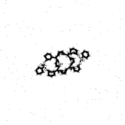 CC12c3cccc(c3)OP(=O)(c3ccccc3)Oc3cccc(c3)C(C)(c3ccc1[nH]3)c1ccc([nH]1)C1(C)c3cccc(c3)OP(=O)(c3ccccc3)Oc3cccc(c3)C(C)(c3ccc1[nH]3)c1ccc2[nH]1